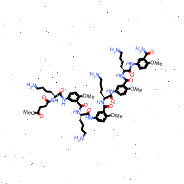 COC(=O)CCC(=O)N[C@@H](CCCCN)C(=O)Nc1ccc(OC)c(C(=O)N[C@@H](CCCCN)C(=O)Nc2ccc(OC)c(C(=O)N[C@@H](CCCCN)C(=O)Nc3ccc(OC)c(C(=O)N[C@@H](CCCCN)C(=O)Nc4ccc(OC)c(C(N)=O)c4)c3)c2)c1